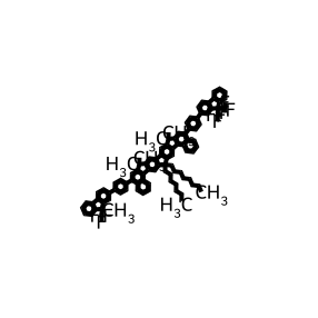 CCCCCCCCC1(CCCCCCCC)c2cc3c(cc2-c2cc4c(cc21)-c1c(cc(-c2ccc(-c5ccc6c(c5)C(C(F)(F)F)(C(F)(F)F)c5ccccc5-6)cc2)c2ccccc12)C4(C)C)C(C)(C)c1cc(-c2ccc(-c4ccc5c(c4)C(C)(C(F)(F)F)c4ccccc4-5)cc2)c2ccccc2c1-3